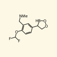 CNCc1cc(C2BOOC2)ccc1OC(F)F